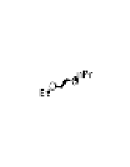 CC[CH]OCCOCC